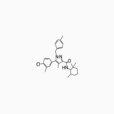 Cc1ccc(Cn2nc(C(=O)NC3C(C)CCCC3(C)C)c(C)c2-c2ccc(Cl)c(C)c2)cc1